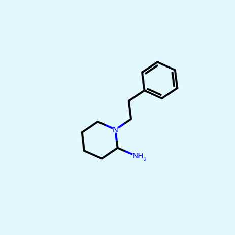 NC1CCCCN1CCc1ccccc1